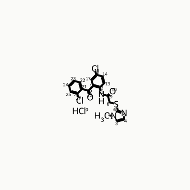 Cl.Cn1ccnc1SCC(=O)Nc1ccc(Cl)cc1C(=O)c1ccccc1Cl